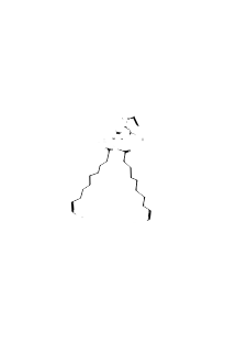 CCCCCCCC/C=C\CCCCCCCC(=O)N(C(=O)CCCCCCC/C=C\CCCCCCCC)P(=O)(O)O[N+]1(CCC)C=CN=C1